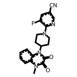 Cn1c(=O)c(=O)n(C2CCN(c3ncc(C#N)cc3F)CC2)c2ccccc21